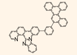 c1cc(-c2ccc3c4ccc5cccnc5c4c4nc5ccccc5n4c3c2)cc(-c2cc3c4ccccc4c4ccccc4c3c3ccccc23)c1